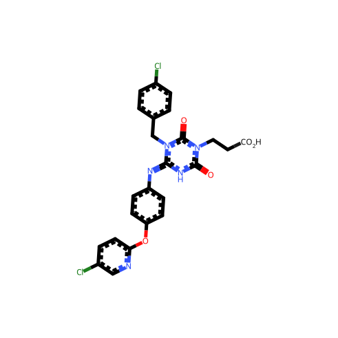 O=C(O)CCn1c(=O)[nH]/c(=N\c2ccc(Oc3ccc(Cl)cn3)cc2)n(Cc2ccc(Cl)cc2)c1=O